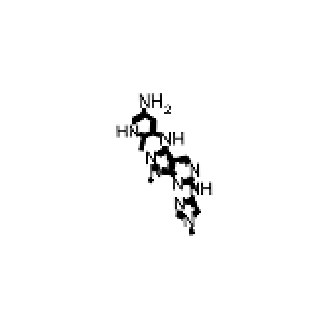 CC1NC=C(N)C=C1Nc1nn(C)c2nc(Nc3cn(C)cn3)ncc12